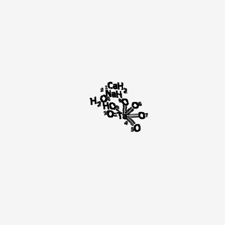 O.[CaH2].[NaH].[O]=[Ta](=[O])(=[O])(=[O])(=[O])[OH]